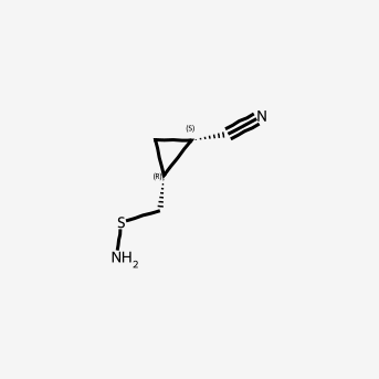 N#C[C@H]1C[C@H]1CSN